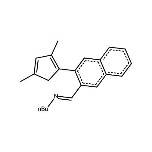 CCCCN=Cc1cc2ccccc2cc1C1=C(C)C=C(C)C1